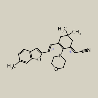 Cc1ccc2cc(/C=C/C3=C(N4CCOCC4)C(=C/C#N)/CC(C)(C)C3)oc2c1